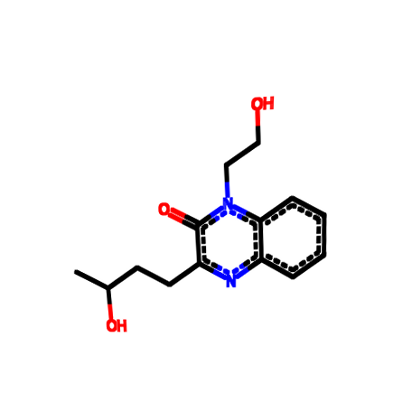 CC(O)CCc1nc2ccccc2n(CCO)c1=O